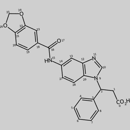 O=C(O)CC(c1ccccc1)n1cnc2cc(NC(=O)c3ccc4c(c3)OCO4)ccc21